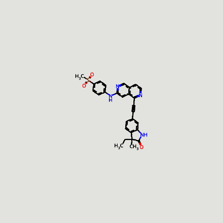 CCC1(C)C(=O)Nc2cc(C#Cc3nccc4cnc(Nc5ccc(S(C)(=O)=O)cc5)cc34)ccc21